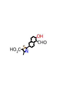 Cc1nc(-c2ccc3c(C=O)c(O)ccc3c2)sc1C(=O)O